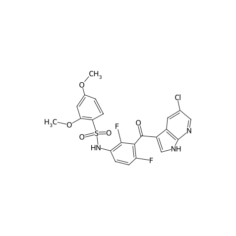 COc1ccc(S(=O)(=O)Nc2ccc(F)c(C(=O)c3c[nH]c4ncc(Cl)cc34)c2F)c(OC)c1